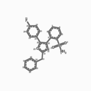 NS(=O)(=O)c1ccccc1-c1nc(Cc2ccccc2)oc1-c1ccc(F)cc1